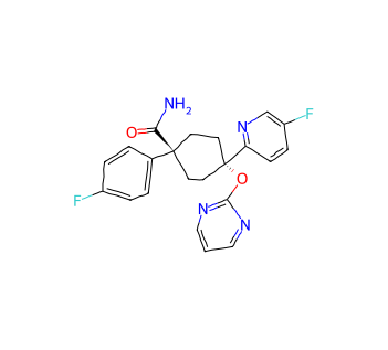 NC(=O)[C@]1(c2ccc(F)cc2)CC[C@](Oc2ncccn2)(c2ccc(F)cn2)CC1